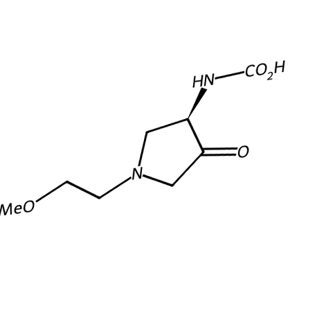 COCCN1CC(=O)[C@H](NC(=O)O)C1